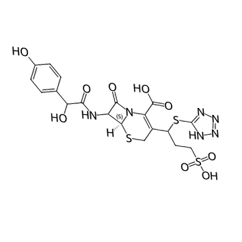 O=C(O)C1=C(C(CCS(=O)(=O)O)Sc2nnn[nH]2)CS[C@H]2C(NC(=O)C(O)c3ccc(O)cc3)C(=O)N12